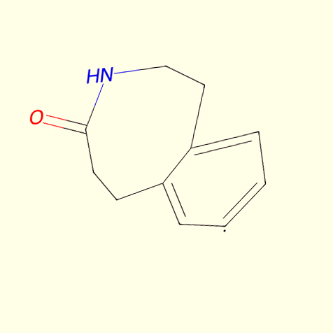 O=C1CCc2c[c]ccc2CCN1